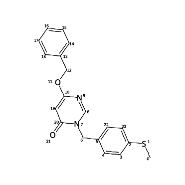 CSc1ccc(Cn2cnc(OCc3ccccc3)cc2=O)cc1